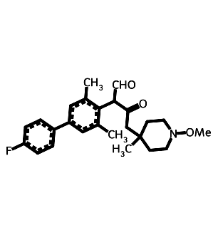 CON1CCC(C)(CC(=O)C(C=O)c2c(C)cc(-c3ccc(F)cc3)cc2C)CC1